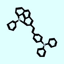 C(=C\c1cc2ccc3cccc4c3c2c(c1)n4-c1ccccc1)/c1ccc(N(c2ccccc2)c2ccccc2)cc1